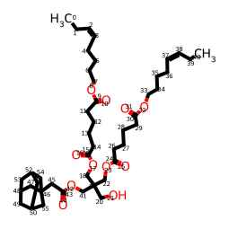 CC/C=C\CCCCOC(=O)CCCCC(=O)OCC(CO)(COC(=O)CCCCC(=O)OCCCC/C=C\CC)COC(=O)CC12CC3CC(CC(C3)C1)C2